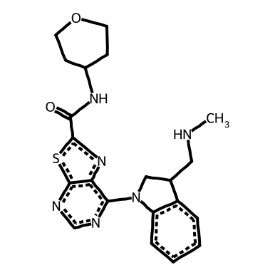 CNCC1CN(c2ncnc3sc(C(=O)NC4CCOCC4)nc23)c2ccccc21